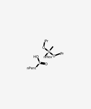 CCCCCC[Si](C)(OC(C)C)OC(C)C.CCCCCS(=O)O